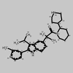 Cc1cc(-c2[nH]c3ccc(C(C)(C)C(=O)N4CCCCC4C4CCNCC4)cc3c2C(C)C)ccn1